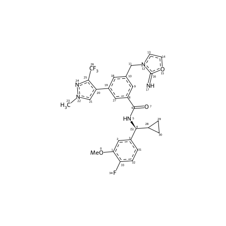 COc1cc([C@@H](NC(=O)c2cc(Cn3ccoc3=N)cc(-c3cn(C)nc3C(F)(F)F)c2)C2CC2)ccc1F